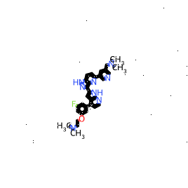 CN(C)CCOc1cc(F)cc(-c2ccnc3[nH]c(-c4n[nH]c5ccc(-c6cncc(CN(C)C)c6)nc45)cc23)c1